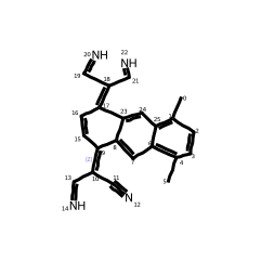 Cc1ccc(C)c2cc3/c(=C(\C#N)C=N)ccc(=C(C=N)C=N)c3cc12